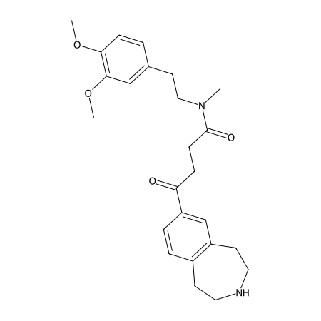 COc1ccc(CCN(C)C(=O)CCC(=O)c2ccc3c(c2)CCNCC3)cc1OC